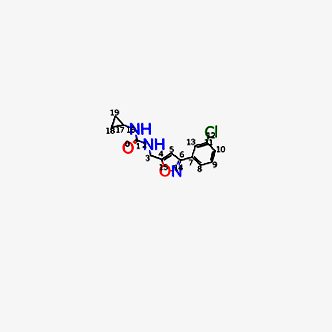 O=C(NCc1cc(-c2cccc(Cl)c2)no1)NC1CC1